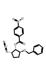 [N-]=[N+]=N[C@H]1CC[C@H](OCc2ccccc2)[C@H]1OC(=O)c1ccc([N+](=O)[O-])cc1